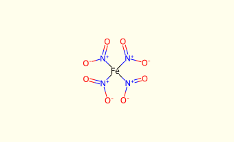 O=[N+]([O-])[Fe]([N+](=O)[O-])([N+](=O)[O-])[N+](=O)[O-]